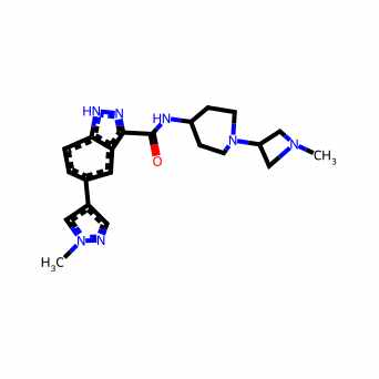 CN1CC(N2CCC(NC(=O)c3n[nH]c4ccc(-c5cnn(C)c5)cc34)CC2)C1